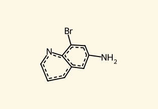 Nc1cc(Br)c2ncccc2c1